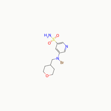 NS(=O)(=O)c1cncc(N(Br)CC2CCOCC2)c1